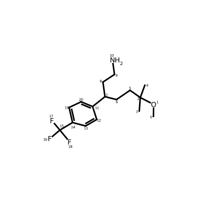 COC(C)(C)CCC(CCN)c1ccc(C(F)(F)F)cc1